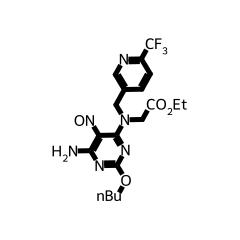 CCCCOc1nc(N)c(N=O)c(N(CC(=O)OCC)Cc2ccc(C(F)(F)F)nc2)n1